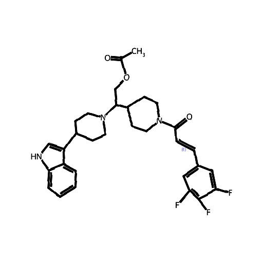 CC(=O)OCC(C1CCN(C(=O)/C=C/c2cc(F)c(F)c(F)c2)CC1)N1CCC(c2c[nH]c3ccccc23)CC1